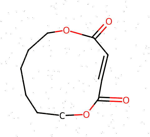 O=C1/C=C/C(=O)OCCCCCCO1